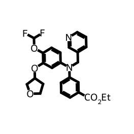 CCOC(=O)c1cccc(N(Cc2cccnc2)c2ccc(OC(F)F)c(OC3CCOC3)c2)c1